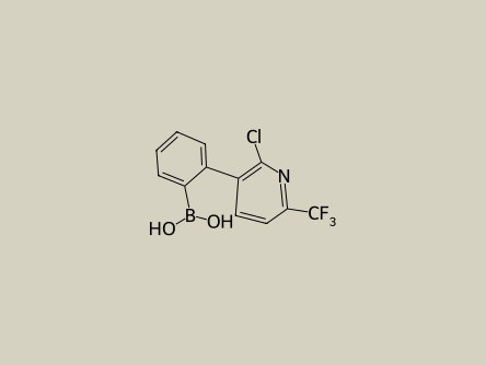 OB(O)c1ccccc1-c1ccc(C(F)(F)F)nc1Cl